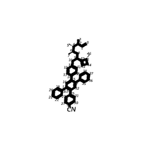 C=CC(C)[C@@H](C)[C@H](C)CC(Cc1ccc(-c2cc(-c3ccccc3)c(-c3ccc(C#N)cc3)cc2-c2ccccc2)cc1)C1=CC[C@H]1C